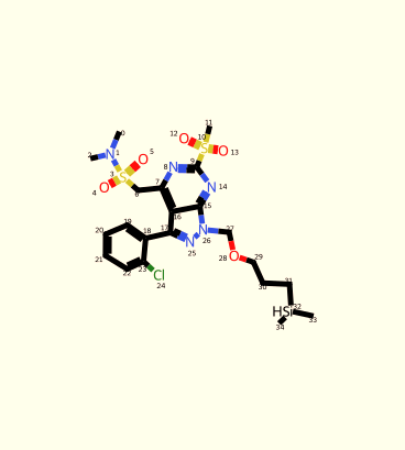 CN(C)S(=O)(=O)Cc1nc(S(C)(=O)=O)nc2c1c(-c1ccccc1Cl)nn2COCCC[SiH](C)C